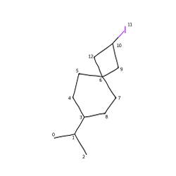 CC(C)C1CCC2(CC1)CC(I)C2